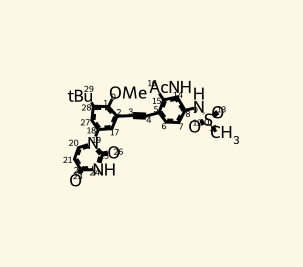 COc1c(C#Cc2ccc(NS(C)(=O)=O)cc2NC(C)=O)cc(-n2ccc(=O)[nH]c2=O)cc1C(C)(C)C